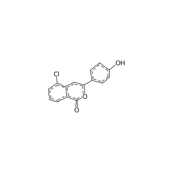 O=c1oc(-c2ccc(O)cc2)cc2c(Cl)cccc12